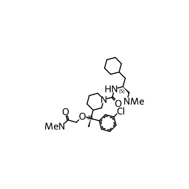 CNC[C@H](CC1CCCCC1)NC(=O)N1CCCC([C@@](C)(OCC(=O)NC)c2cccc(Cl)c2)C1